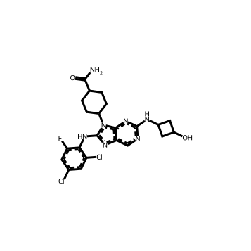 NC(=O)C1CCC(n2c(Nc3c(F)cc(Cl)cc3Cl)nc3cnc(NC4CC(O)C4)nc32)CC1